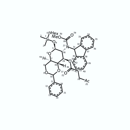 CCCCCC[Si](C)(C)O[C@@H]1O[C@@H]2COC(c3ccccc3)O[C@H]2[C@H](OC(=O)CCC(C)=O)[C@H]1N(C(=O)OC)C1c2ccccc2-c2ccccc21